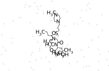 CCCC(=O)N(C)[C@H](CSCCCN1CCN(C)CC1)C(=O)N(C)[C@@H](CC(C)(C)O)C(N)=O